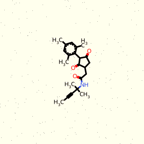 CC#CC(C)(C)NC(=O)CC1CC(=O)C(c2c(C)cc(C)cc2C)C1=O